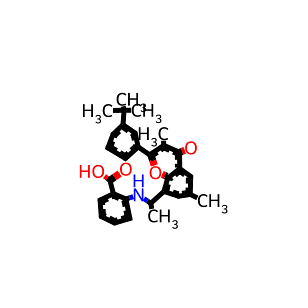 Cc1cc(C(C)Nc2ccccc2C(=O)O)c2oc(-c3cccc(C(C)(C)C)c3)c(C)c(=O)c2c1